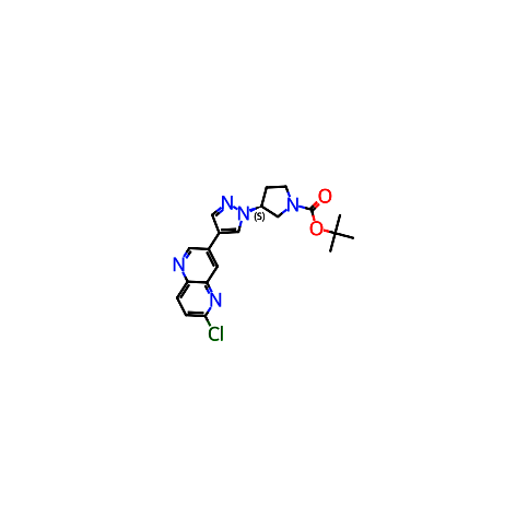 CC(C)(C)OC(=O)N1CC[C@H](n2cc(-c3cnc4ccc(Cl)nc4c3)cn2)C1